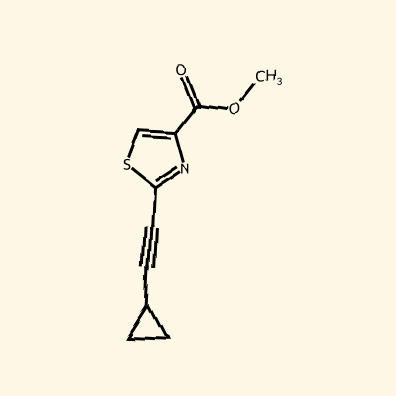 COC(=O)c1csc(C#CC2CC2)n1